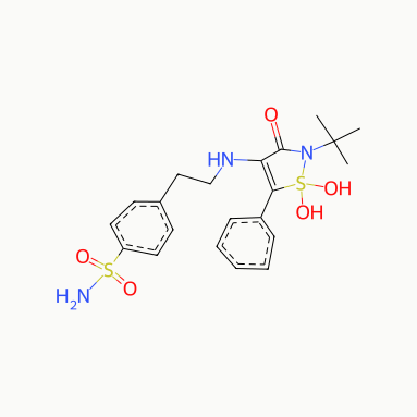 CC(C)(C)N1C(=O)C(NCCc2ccc(S(N)(=O)=O)cc2)=C(c2ccccc2)S1(O)O